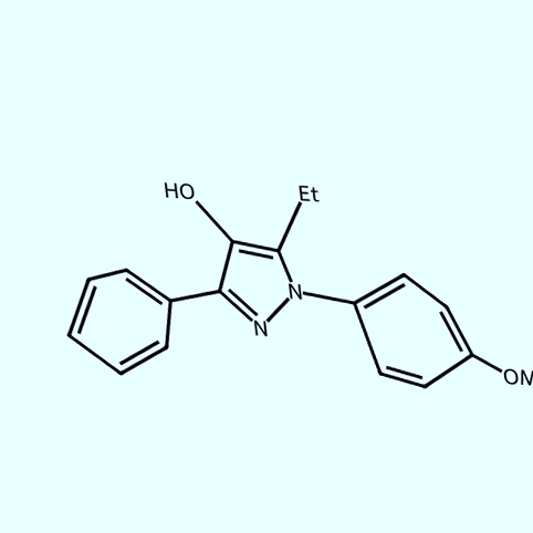 CCc1c(O)c(-c2ccccc2)nn1-c1ccc(OC)cc1